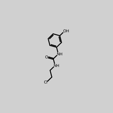 O=C(NCCCl)Nc1cccc(O)c1